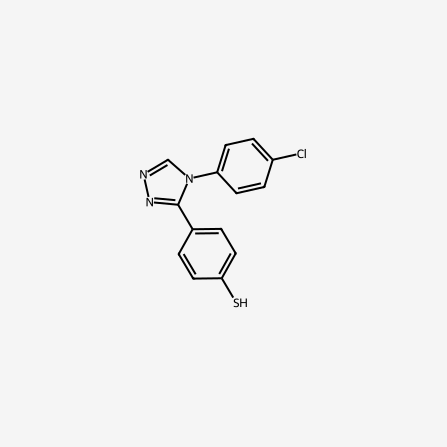 Sc1ccc(-c2nncn2-c2ccc(Cl)cc2)cc1